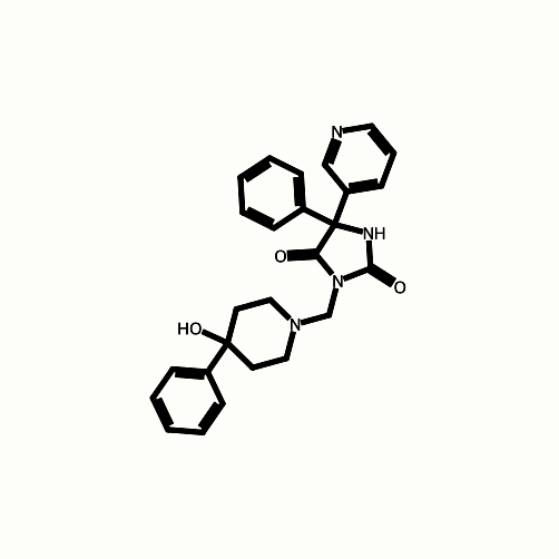 O=C1NC(c2ccccc2)(c2cccnc2)C(=O)N1CN1CCC(O)(c2ccccc2)CC1